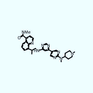 CNC(=O)c1ccnc2c(C(C)CNc3cc(-c4cnc(N(C)C5CCN(C)CC5)nc4)ncn3)cccc12